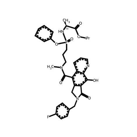 CC(C)OC(=O)[C@H](C)NP(=O)(CCCN(C)C(=O)c1c2c(c(O)c3ncccc13)C(=O)N(Cc1ccc(F)cc1)C2)Oc1ccccc1